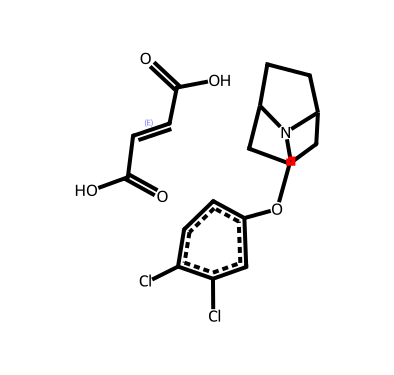 CN1C2CCC1CC(Oc1ccc(Cl)c(Cl)c1)C2.O=C(O)/C=C/C(=O)O